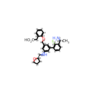 C[C@@H](N)c1cccc(-c2cc(COc3ccccc3CC(=O)O)cc(NC[C@H]3CCCO3)c2)c1F